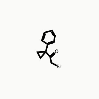 O=C(CBr)C1(c2ccccc2)CC1